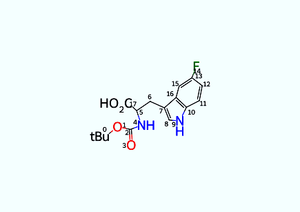 CC(C)(C)OC(=O)NC(Cc1c[nH]c2ccc(F)cc12)C(=O)O